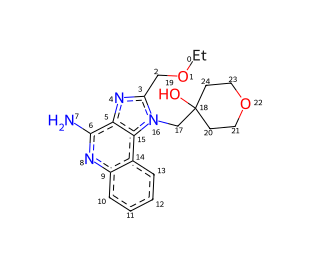 CCOCc1nc2c(N)nc3ccccc3c2n1CC1(O)CCOCC1